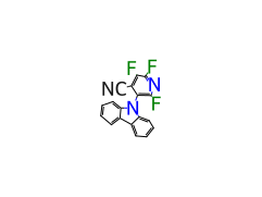 N#Cc1c(F)c(F)nc(F)c1-n1c2ccccc2c2ccccc21